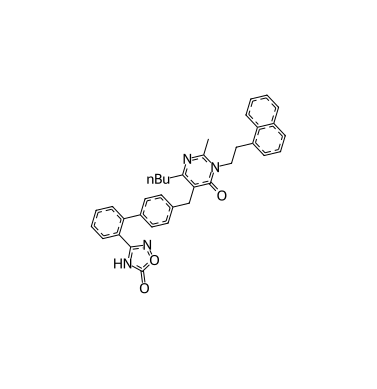 CCCCc1nc(C)n(CCc2cccc3ccccc23)c(=O)c1Cc1ccc(-c2ccccc2-c2noc(=O)[nH]2)cc1